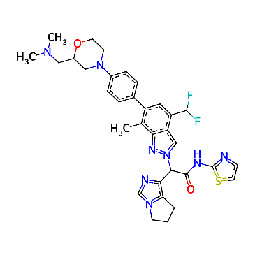 Cc1c(-c2ccc(N3CCOC(CN(C)C)C3)cc2)cc(C(F)F)c2cn(C(C(=O)Nc3nccs3)c3ncn4c3CCC4)nc12